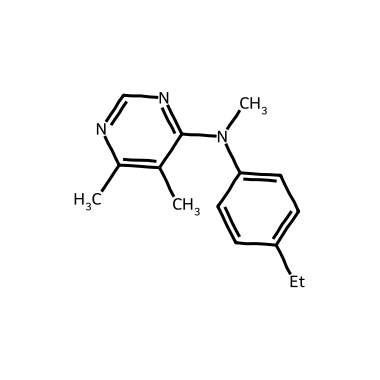 CCc1ccc(N(C)c2ncnc(C)c2C)cc1